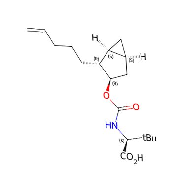 C=CCCC[C@@H]1[C@H]2C[C@H]2C[C@H]1OC(=O)N[C@H](C(=O)O)C(C)(C)C